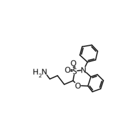 NCCCC1Oc2ccccc2N(c2ccccc2)S1(=O)=O